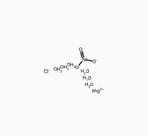 O.O.O.O.O.O.O=[N+]([O-])[O-].[Cl-].[Mg+2]